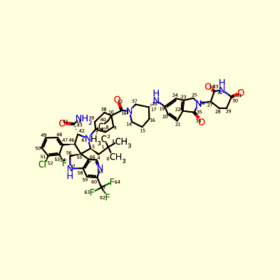 CC(C)(C)C[C@@H]1N(C23CCC(C(=O)N4CCC[C@@H](Nc5ccc6c(c5)CN(C5CCC(=O)NC5=O)C6=O)C4)(CC2)CC3)[C@@H](C(N)=O)[C@H](c2cccc(Cl)c2F)[C@]12CNc1cc(C(F)(F)F)ncc12